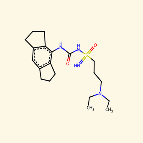 CCN(CC)CCCS(=N)(=O)NC(=O)Nc1c2c(cc3c1CCC3)CCC2